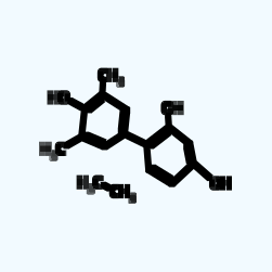 CC.Cc1cc(-c2ccc(O)cc2O)cc(C)c1O